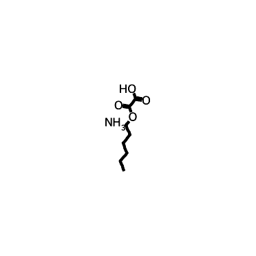 CCCCCCOC(=O)C(=O)O.N